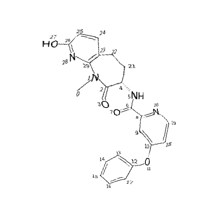 CN1C(=O)[C@@H](NC(=O)c2cc(Oc3ccccc3)ccn2)CCc2ccc(O)nc21